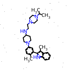 Cc1ccc(N2CCC(NCCN3CCN(C(C)C)CC3)CC2)cc1-c1[nH]c2ccccc2c1C